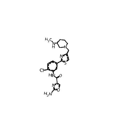 CNC1CCCN(Cc2csc(-c3ccc(Cl)c(NC(=O)c4coc(N)n4)c3)n2)C1